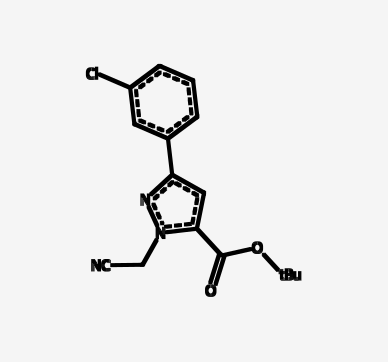 CC(C)(C)OC(=O)c1cc(-c2cccc(Cl)c2)nn1CC#N